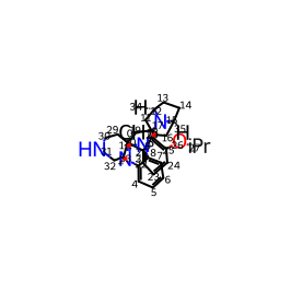 Cc1nc2ccccc2n1[C@H]1C[C@H]2CC[C@@H](C1)N2CCC1(c2cccc(OC(C)C)c2)CCNCC1